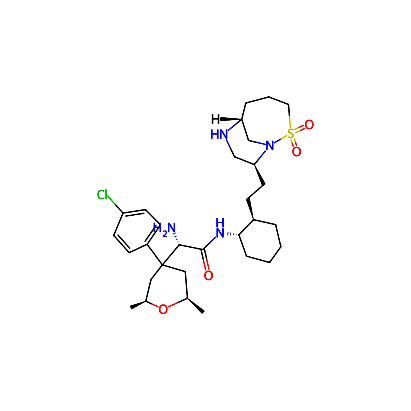 C[C@@H]1CC(c2ccc(Cl)cc2)([C@H](N)C(=O)N[C@H]2CCCC[C@@H]2CC[C@H]2CN[C@@H]3CCCS(=O)(=O)N2C3)C[C@H](C)O1